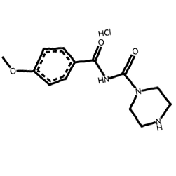 COc1ccc(C(=O)NC(=O)N2CCNCC2)cc1.Cl